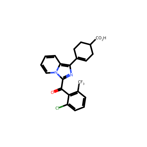 O=C(c1c(Cl)cccc1C(F)(F)F)c1nc(C2=CCC(C(=O)O)CC2)c2ccccn12